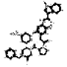 Cn1cc(C(=O)Nc2cc(Cl)c(CC(=O)N3CCC[C@H]3C(O[C@H]3CC[C@H](C(=O)O)CC3)N3CCN(Cc4ccccc4)C(=O)C3)cc2Cl)c2ccccc21